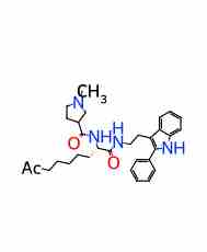 CC(=O)CCCCC[C@H](NC(=O)C1CCN(C)C1)C(=O)NCCc1c(-c2ccccc2)[nH]c2ccccc12